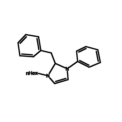 CCCCCCN1C=CN(c2ccccc2)C1Cc1ccccc1